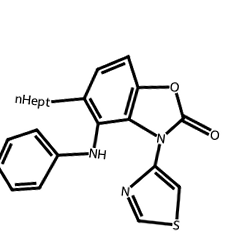 CCCCCCCc1ccc2oc(=O)n(-c3cscn3)c2c1Nc1ccccc1